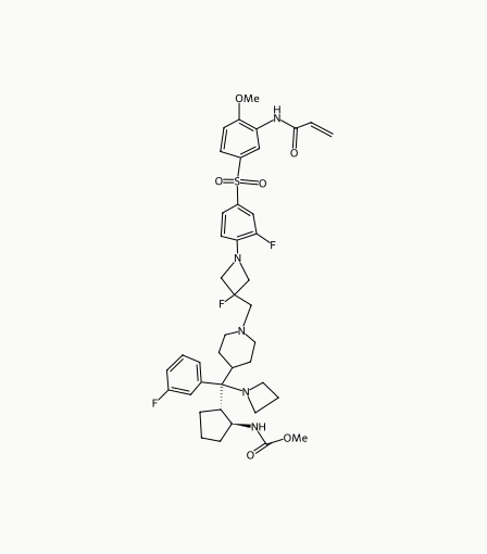 C=CC(=O)Nc1cc(S(=O)(=O)c2ccc(N3CC(F)(CN4CCC(C(c5cccc(F)c5)([C@H]5CCC[C@@H]5NC(=O)OC)N5CCC5)CC4)C3)c(F)c2)ccc1OC